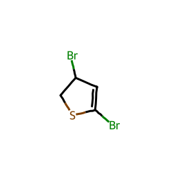 BrC1=CC(Br)CS1